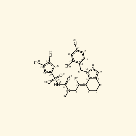 CN(CC(F)=C1CCCc2cnn(Cc3ccc(Cl)cc3Cl)c21)C(=O)NS(=O)(=O)c1cc(Cl)c(Cl)s1